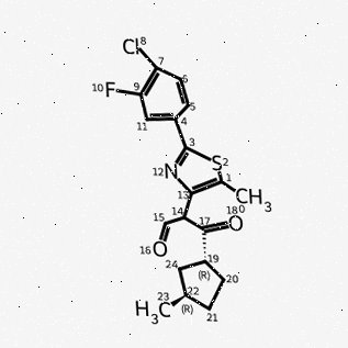 Cc1sc(-c2ccc(Cl)c(F)c2)nc1C(C=O)C(=O)[C@@H]1CC[C@@H](C)C1